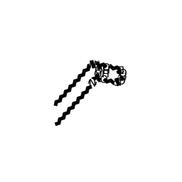 CCCCCCCCCCCCCCCC[N+](C)(C)CC(O)COCCC[Si](C)(C)O[Si](C)(C)O[Si](C)(C)CCCOCC(O)C[N+](C)(C)CCCCCCCCCCCCCCCC